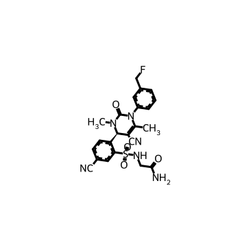 CC1=C(C#N)[C@@H](c2ccc(C#N)cc2S(=O)(=O)NCC(N)=O)N(C)C(=O)N1c1cccc(CF)c1